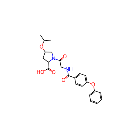 CC(C)OC1CC(C(=O)O)N(C(=O)CNC(=O)c2ccc(Oc3ccccc3)cc2)C1